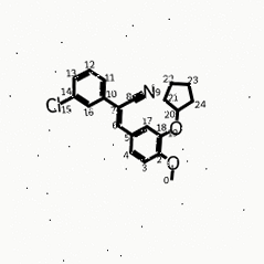 COc1ccc(C=C(C#N)c2cccc(Cl)c2)cc1OC1CCCC1